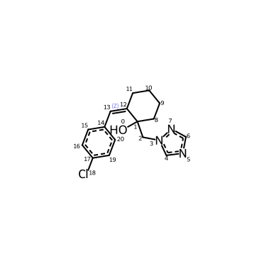 OC1(Cn2cncn2)CCCC/C1=C/c1ccc(Cl)cc1